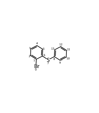 Brc1ccccc1Sc1[c]cccc1